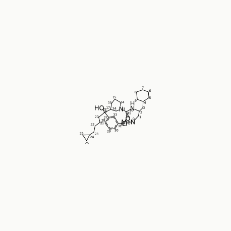 CNCC(CC1CCCCC1)NC(=O)N1CCCC(C(O)(CCCCC2CC2)c2cccc(Cl)c2)C1